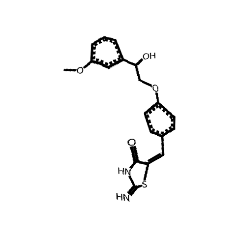 COc1cccc(C(O)COc2ccc(C=C3SC(=N)NC3=O)cc2)c1